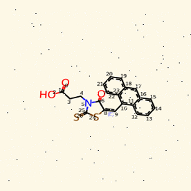 O=C(O)CCN1C(=O)/C(=C\c2c3ccccc3cc3ccccc23)SC1=S